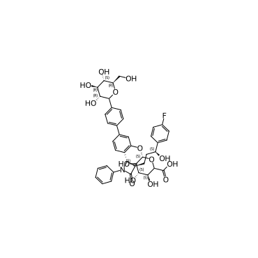 O=C(O)C1O[C@@H](Oc2cc(-c3ccc(C4O[C@H](CO)[C@@H](O)[C@H](O)[C@H]4O)cc3)ccc2[C@@H]2[C@@H](CC[C@H](O)c3ccc(F)cc3)C(=O)N2c2ccccc2)C(O)[C@@H](O)[C@@H]1O